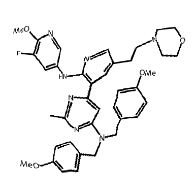 COc1ccc(CN(Cc2ccc(OC)cc2)c2cc(-c3cc(CCN4CCOCC4)cnc3Nc3cnc(OC)c(F)c3)nc(C)n2)cc1